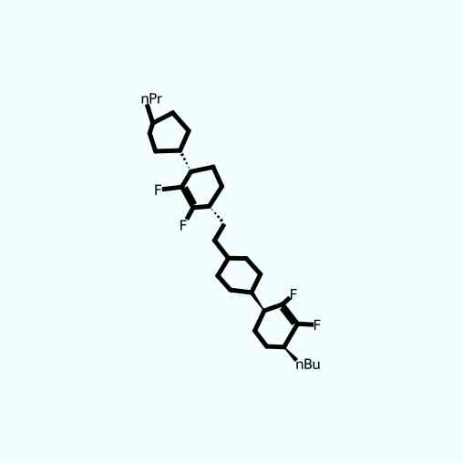 CCCC[C@H]1CC[C@@H](C2CCC(CC[C@H]3CC[C@@H](C4CCC(CCC)CC4)C(F)=C3F)CC2)C(F)=C1F